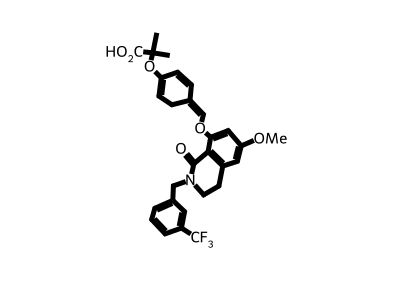 COc1cc2c(c(OC=C3C=CC(OC(C)(C)C(=O)O)=CC3)c1)C(=O)N(Cc1cccc(C(F)(F)F)c1)CC2